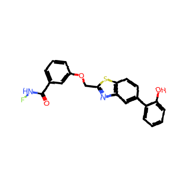 O=C(NF)c1cccc(OCc2nc3cc(-c4ccccc4O)ccc3s2)c1